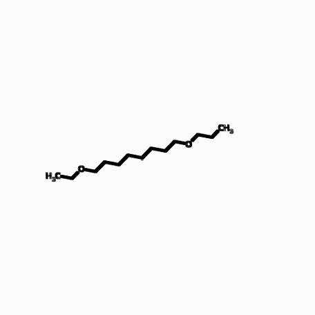 CCCOCCC[CH]CCCCOCC